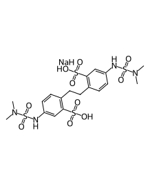 CN(C)S(=O)(=O)Nc1ccc(CCc2ccc(NS(=O)(=O)N(C)C)cc2S(=O)(=O)O)c(S(=O)(=O)O)c1.[NaH]